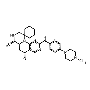 C=C1NCC2(CCCCC2)N2c3nc(Nc4ccc(N5CCN(C)CC5)cn4)ncc3C(=O)CC12